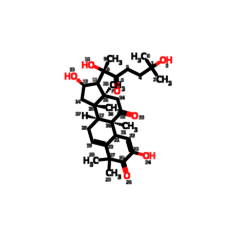 CC(C)(O)CCC(=O)[C@@](C)(O)C1[C@H](O)C[C@@]2(C)[C@@H]3CC=C4C(C=C(O)C(=O)C4(C)C)[C@]3(C)C(=O)C[C@]12C